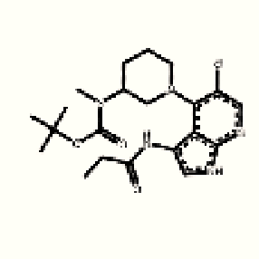 CCC(=O)Nc1c[nH]c2ncc(Cl)c(N3CCCC(N(C)C(=O)OC(C)(C)C)C3)c12